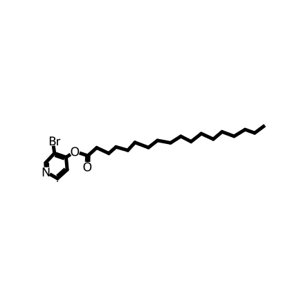 CCCCCCCCCCCCCCCCCC(=O)Oc1c[c]ncc1Br